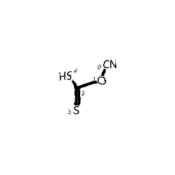 N#COC(=S)S